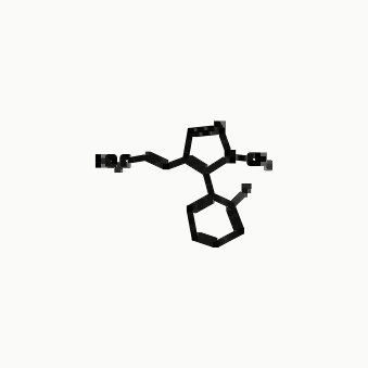 Cn1ncc(C=CC(=O)O)c1-c1ccccc1F